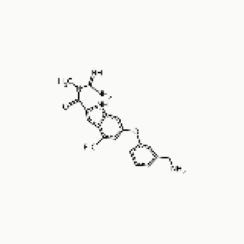 CN(C(=N)N)C(=O)c1cc2c(C(F)(F)F)cc(Oc3cccc(CN)c3)cc2[nH]1